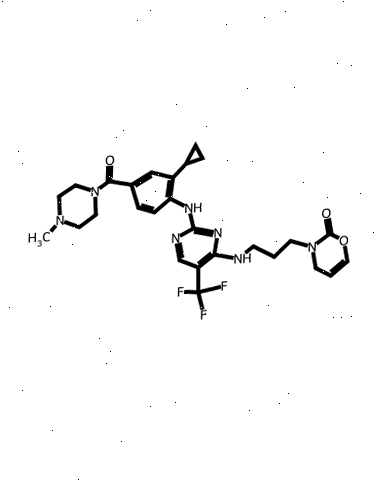 CN1CCN(C(=O)c2ccc(Nc3ncc(C(F)(F)F)c(NCCCN4CC=COC4=O)n3)c(C3CC3)c2)CC1